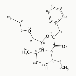 CC[C@H](C)[C@@H](C(=O)OCc1ccccc1)N(C(=O)COCCF)C(C)C